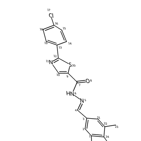 Cc1cc(/C=N/NC(=O)c2cnc(-c3ccc(Cl)cc3)s2)cc(C)c1O